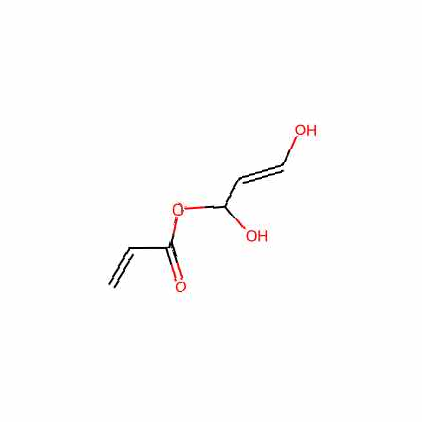 C=CC(=O)OC(O)C=CO